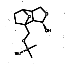 CC(C)(C)[Si](C)(C)OCC12CCC(O1)C1CO[C@@H](O)C12